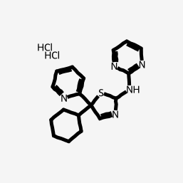 C1=NC(Nc2ncccn2)SC1(c1ccccn1)C1CCCCC1.Cl.Cl